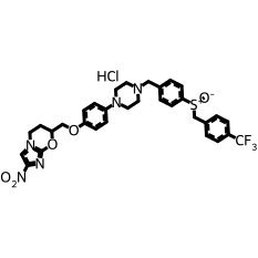 Cl.O=[N+]([O-])c1cn2c(n1)OC(COc1ccc(N3CCN(Cc4ccc([S+]([O-])Cc5ccc(C(F)(F)F)cc5)cc4)CC3)cc1)CC2